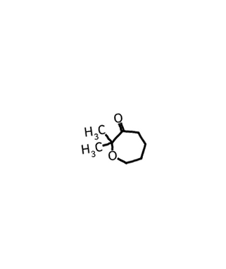 CC1(C)OCCCCC1=O